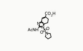 CC(=O)Nc1nc2c(n1S(=O)(=O)N1CCCC1)CCC(C(=O)O)=C2